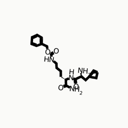 NC(=O)[C@H](CCCCNC(=O)OCc1ccccc1)NC(=O)[C@@H](N)CC12CC(C1)C2